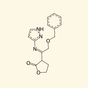 O=C1OCCC1C(COCc1ccccc1)=Nc1cc[nH]n1